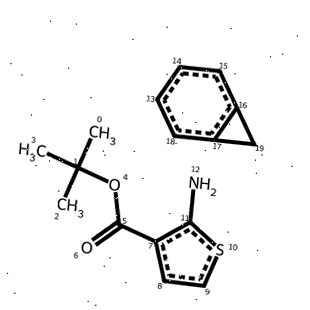 CC(C)(C)OC(=O)c1ccsc1N.c1ccc2c(c1)C2